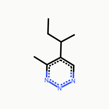 CCC(C)c1cnnnc1C